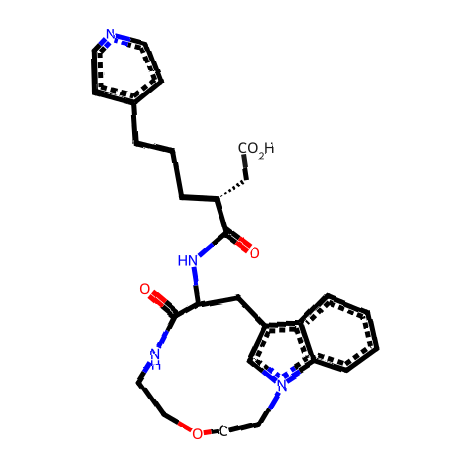 O=C(O)C[C@@H](CCCc1ccncc1)C(=O)NC1Cc2cn(c3ccccc23)CCOCCNC1=O